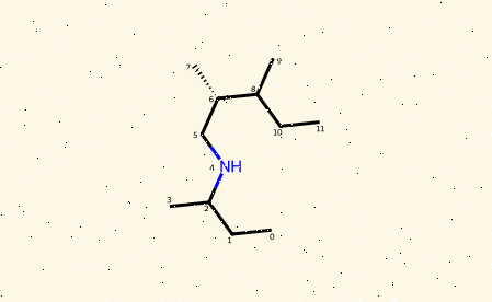 CCC(C)NC[C@H](C)C(C)CC